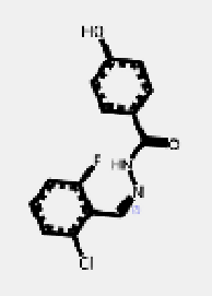 O=C(N/N=C\c1c(F)cccc1Cl)c1ccc(O)cc1